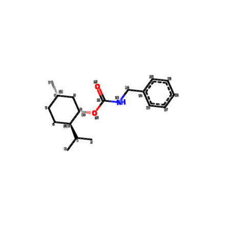 CC(C)[C@H]1CC[C@H](C)C[C@@H]1OC(=O)NCc1ccccc1